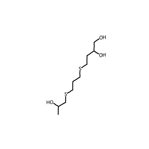 CC(O)CSCCCSCCC(O)CO